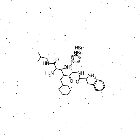 Br.Br.CC(C)CNC(=O)C(N)[C@@H](O)[C@H](CC1CCCCC1)C(=O)[C@H](Cn1cccn1)NC(=O)[C@@H](N)Cc1ccccc1